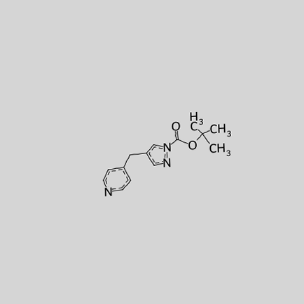 CC(C)(C)OC(=O)n1cc(Cc2ccncc2)cn1